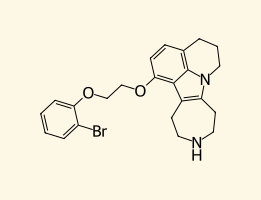 Brc1ccccc1OCCOc1ccc2c3c1c1c(n3CCC2)CCNCC1